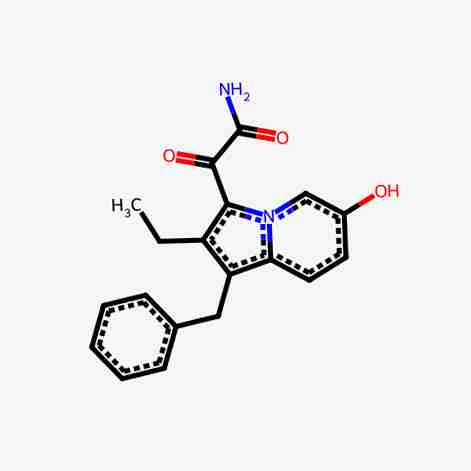 CCc1c(Cc2ccccc2)c2ccc(O)cn2c1C(=O)C(N)=O